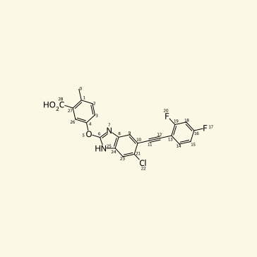 Cc1ccc(Oc2nc3cc(C#Cc4ccc(F)cc4F)c(Cl)cc3[nH]2)cc1C(=O)O